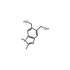 Cc1nc2cc(CO)c(CO)cc2n1C